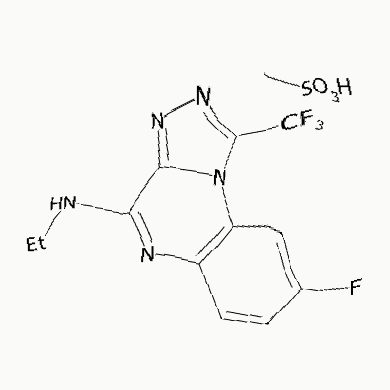 CCNc1nc2ccc(F)cc2n2c(C(F)(F)F)nnc12.CS(=O)(=O)O